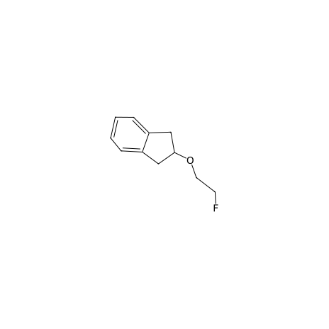 FCCOC1Cc2ccccc2C1